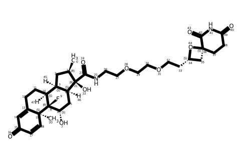 C[C@@H]1C[C@H]2[C@H](C[C@H](O)[C@@]3(F)[C@H]2CCC2=CC(=O)C=C[C@@]23C)[C@@]1(O)C(=O)NCCOCCOCC[C@H]1C[C@]2(CCC(=O)NC2=O)O1